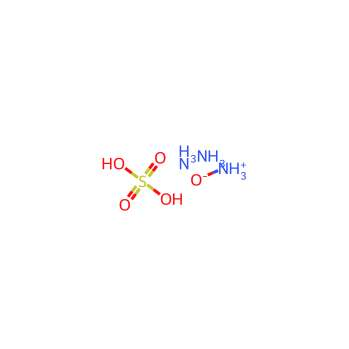 N.N.O=S(=O)(O)O.[NH3+][O-]